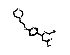 CC(C)C(=O)CC(SCS)c1ccc(OCCN2CCOCC2)nc1